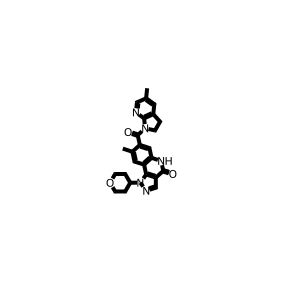 Cc1cnc2c(c1)CCN2C(=O)c1cc2[nH]c(=O)c3cnn(C4CCOCC4)c3c2cc1C